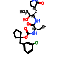 CC(C)C[C@H](NC(=O)OC1(Cc2cccc(Cl)c2)CCCC1)C(=O)N[C@@H](C[C@@H]1CCNC1=O)C(O)S(=O)(=O)O